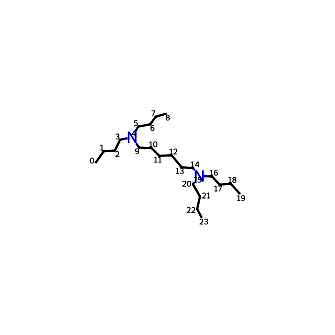 CCCCN(CCCC)CCCCCCN(CCCC)CCCC